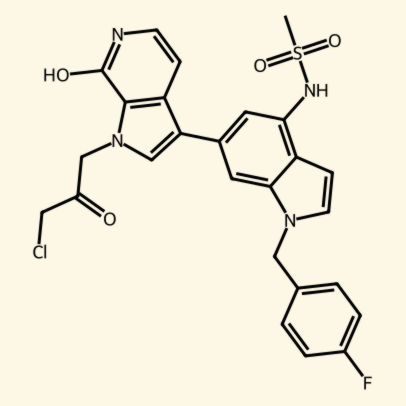 CS(=O)(=O)Nc1cc(-c2cn(CC(=O)CCl)c3c(O)nccc23)cc2c1ccn2Cc1ccc(F)cc1